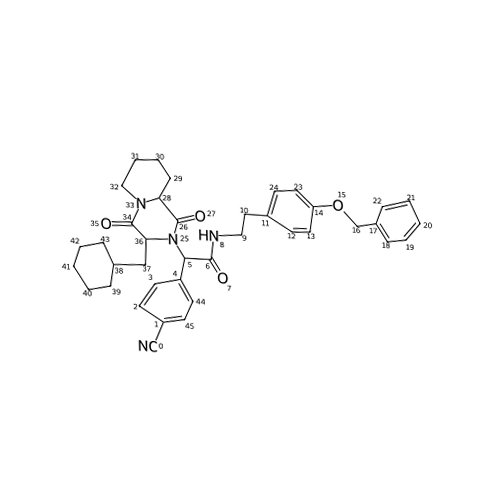 N#Cc1ccc(C(C(=O)NCCc2ccc(OCc3ccccc3)cc2)N2C(=O)C3CCCCN3C(=O)C2CC2CCCCC2)cc1